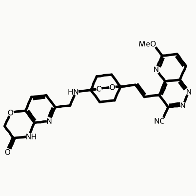 COc1ccc2nnc(C#N)c(C=CC34CCC(NCc5ccc6c(n5)NC(=O)CO6)(CC3)CO4)c2n1